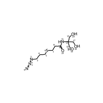 [N-]=[N+]=NCCCSCCC(=O)NC(CO)(CO)CO